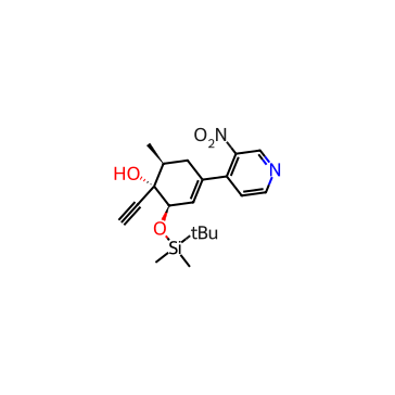 C#C[C@@]1(O)[C@@H](C)CC(c2ccncc2[N+](=O)[O-])=C[C@H]1O[Si](C)(C)C(C)(C)C